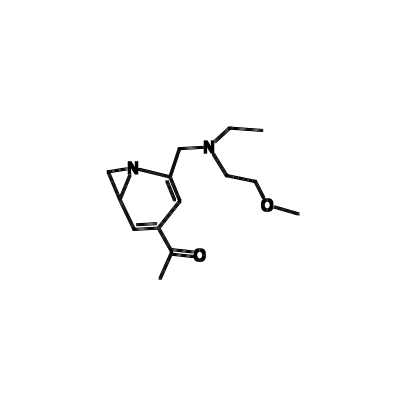 CCN(CCOC)CC1=CC(C(C)=O)=CC2CN12